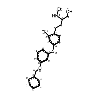 CCNC(CO)CCc1ccc(Sc2cccc(OCc3ccccc3)c2)cc1Cl